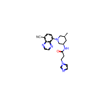 C[C@H]1C[C@@H](NC(=O)CCn2ccnc2)CN(c2ccc(C#N)c3nccnc23)C1